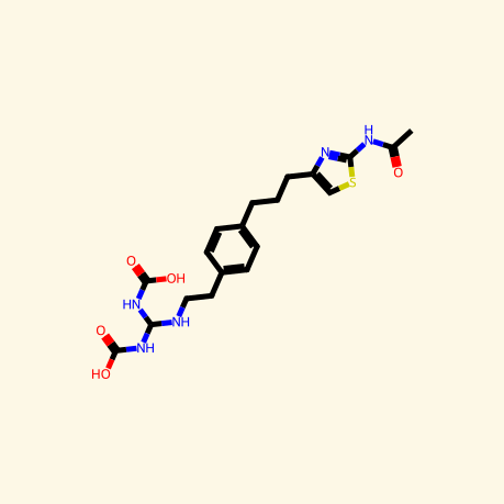 CC(=O)Nc1nc(CCCc2ccc(CCNC(NC(=O)O)NC(=O)O)cc2)cs1